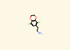 NCCc1cc(F)c2c(c1F)OCCO2